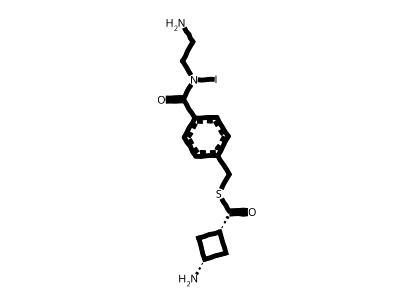 NCCN(I)C(=O)c1ccc(CSC(=O)[C@H]2C[C@@H](N)C2)cc1